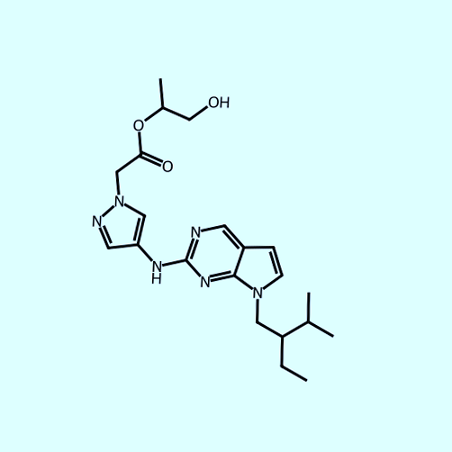 CCC(Cn1ccc2cnc(Nc3cnn(CC(=O)OC(C)CO)c3)nc21)C(C)C